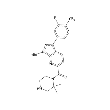 CC1(C)CNCCN1C(=O)c1ccc2c(-c3ccc(C(F)(F)F)c(F)c3)cn(C(C)(C)C)c2n1